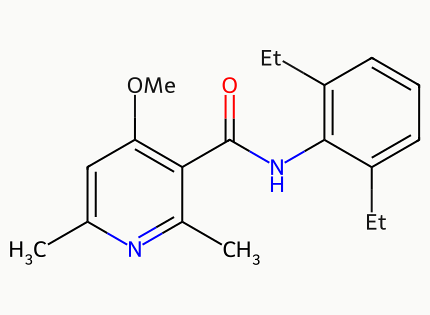 CCc1cccc(CC)c1NC(=O)c1c(OC)cc(C)nc1C